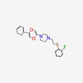 Fc1ccccc1SCCN1CCN(C2=COC(C3=CC=CCC3)=CO2)CC1